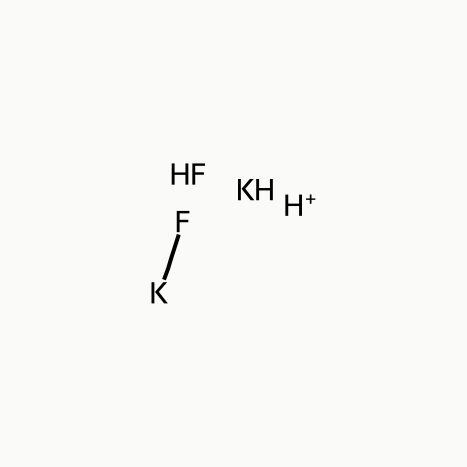 F.[F][K].[H+].[KH]